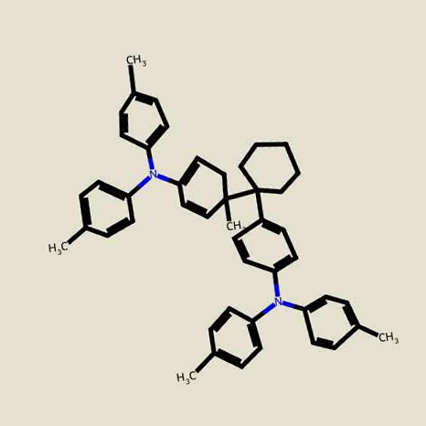 Cc1ccc(N(C2=CCC(C)(C3(c4ccc(N(c5ccc(C)cc5)c5ccc(C)cc5)cc4)CCCCC3)C=C2)c2ccc(C)cc2)cc1